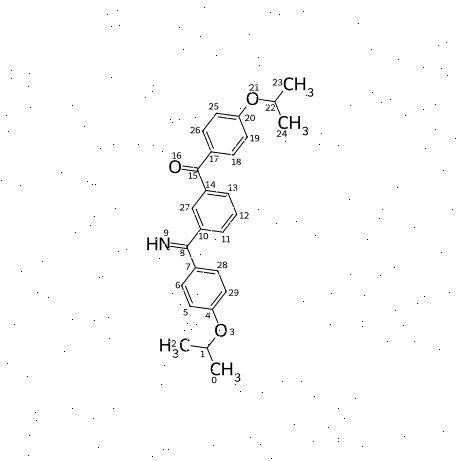 CC(C)Oc1ccc(C(=N)c2cccc(C(=O)c3ccc(OC(C)C)cc3)c2)cc1